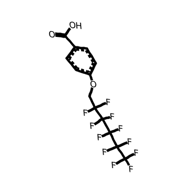 O=C(O)c1ccc(OCC(F)(F)C(F)(F)C(F)(F)C(F)(F)C(F)(F)F)cc1